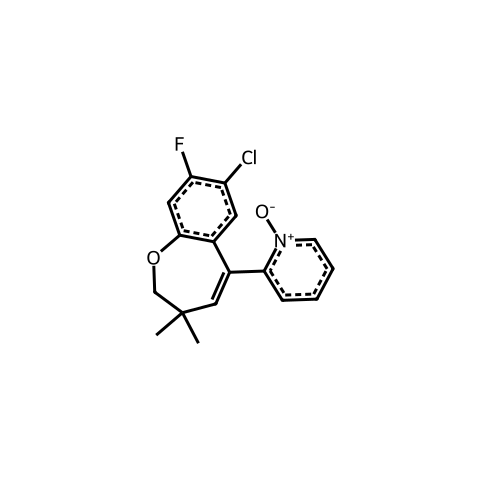 CC1(C)C=C(c2cccc[n+]2[O-])c2cc(Cl)c(F)cc2OC1